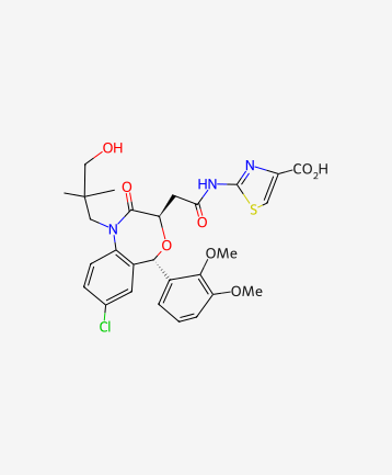 COc1cccc([C@H]2O[C@H](CC(=O)Nc3nc(C(=O)O)cs3)C(=O)N(CC(C)(C)CO)c3ccc(Cl)cc32)c1OC